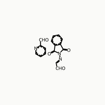 O=C/C=N/N1C(=O)c2ccccc2C1=O.O=Cc1ccccn1